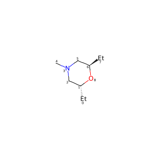 CC[C@@H]1CN(C)C[C@@H](CC)O1